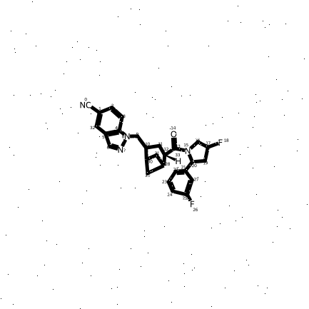 N#Cc1ccc2c(cnn2CC2C[C@H](C(=O)N3CC(F)CC3c3cccc(F)c3)C3CC2C3)c1